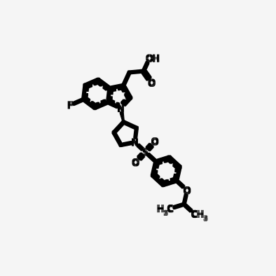 CC(C)Oc1ccc(S(=O)(=O)N2CC[C@@H](n3cc(CC(=O)O)c4ccc(F)cc43)C2)cc1